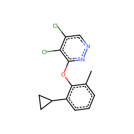 Cc1cccc(C2CC2)c1Oc1nncc(Cl)c1Cl